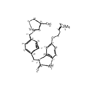 COCCOc1ncc2[nH]c(=O)n(Cc3ccc(CN4CCC(O)C4)cc3)c2n1